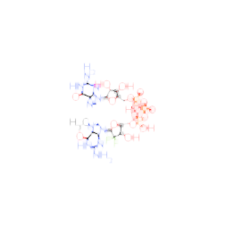 C[n+]1cn([C@@H]2O[C@H](COP(=O)(O)OP(=O)(O)OP(=O)(O)OC[C@H]3O[C@@H](n4cnc5c(=O)[nH]c(N)nc54)C(O)[C@H]3O)[C@H](O)C2(F)F)c2nc(N)[nH]c(=O)c21